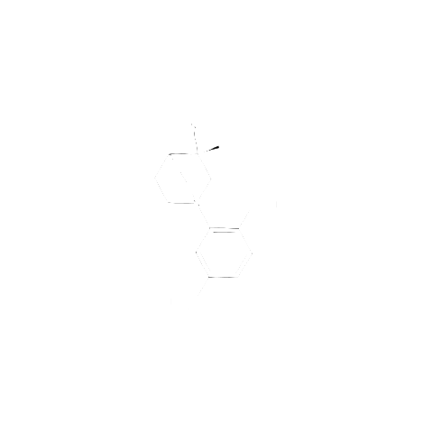 N[C@@H]1C[N+]2(c3cc(C(=O)O)ccc3C(=O)O)CCC1CC2